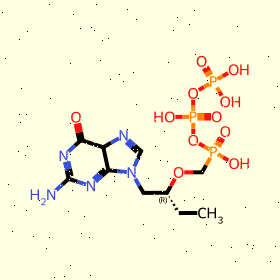 CC[C@H](CN1C=NC2C(=O)N=C(N)N=C21)OCP(=O)(O)OP(=O)(O)OP(=O)(O)O